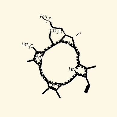 C=Cc1c(C)c2cc3nc(c(CC(=O)O)c4[nH]c(cc5nc(cc1[nH]2)C(C)=C5C)c(C)c4C(=O)O)[C@@H](CCC(=O)O)[C@@H]3C